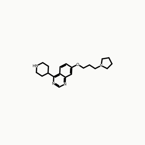 c1nc(C2CCNCC2)c2ccc(OCCCN3CCCC3)cc2n1